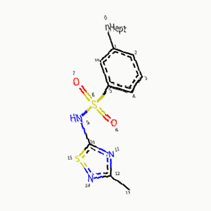 CCCCCCCc1cccc(S(=O)(=O)Nc2nc(C)ns2)c1